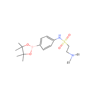 CCN(CC)CCS(=O)(=O)Nc1ccc(B2OC(C)(C)C(C)(C)O2)cc1